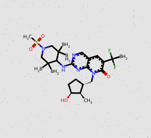 BC(F)(F)c1cc2cnc(NC3C(B)(B)CN(S(C)(=O)=O)CC3(B)B)nc2n(C[C@H]2CC[C@H](O)[C@@H]2C)c1=O